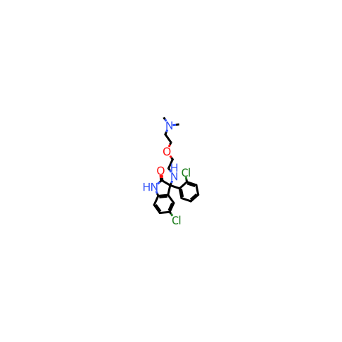 CN(C)CCOCCNC1(c2ccccc2Cl)C(=O)Nc2ccc(Cl)cc21